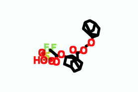 O=C(OCOC1C2CC3CC(C2)CC1C3)C12CC3CC(CC(OC(=O)C(F)(F)S(=O)(=O)O)(C3)C1)C2